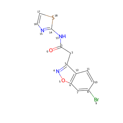 O=C(Cc1noc2cc(Br)ccc12)Nc1nccs1